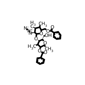 CC1O[C@@H](CO)[C@@H](OC2OC(COC(=O)c3ccccc3)C(C)[C@H](C)[C@@H]2N=[N+]=[N-])C(C)C1OC(=O)c1ccccc1